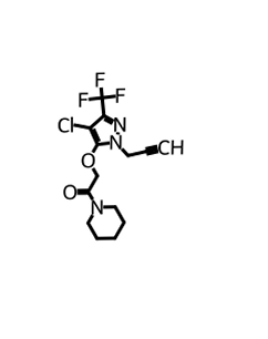 C#CCn1nc(C(F)(F)F)c(Cl)c1OCC(=O)N1CCCCC1